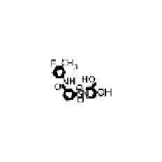 Cc1cc(NC(=O)c2cccc(S(=O)(=O)N3CCC(O)C(CO)C3)c2)ccc1F